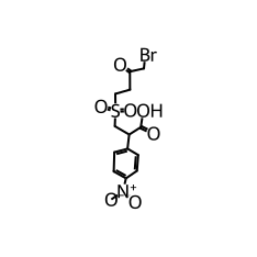 O=C(CBr)CCS(=O)(=O)CC(C(=O)O)c1ccc([N+](=O)[O-])cc1